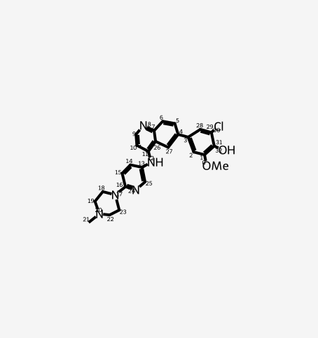 COc1cc(-c2ccc3nc[c]c(Nc4ccc(N5CCN(C)CC5)nc4)c3c2)cc(Cl)c1O